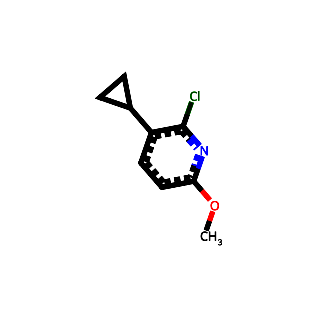 COc1ccc(C2CC2)c(Cl)n1